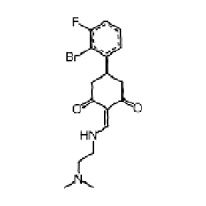 CN(C)CCNC=C1C(=O)CC(c2cccc(F)c2Br)CC1=O